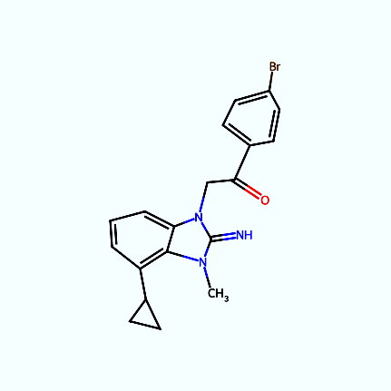 Cn1c(=N)n(CC(=O)c2ccc(Br)cc2)c2cccc(C3CC3)c21